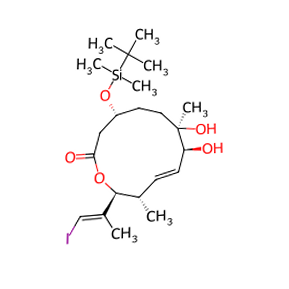 C/C(=C\I)[C@H]1OC(=O)C[C@H](O[Si](C)(C)C(C)(C)C)CC[C@@](C)(O)[C@@H](O)/C=C/[C@@H]1C